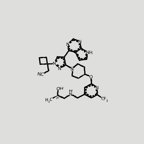 C[C@@H](O)CNCc1cc(OC2CCN(c3nn(C4(CC#N)CCC4)cc3-c3ncnc4[nH]ccc34)CC2)nc(C(F)(F)F)c1